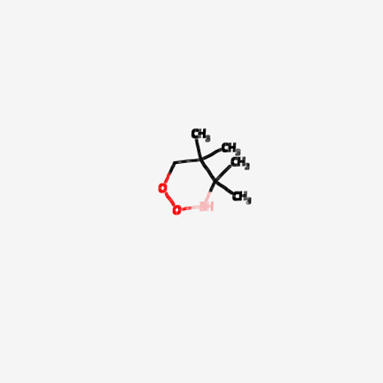 CC1(C)BOOCC1(C)C